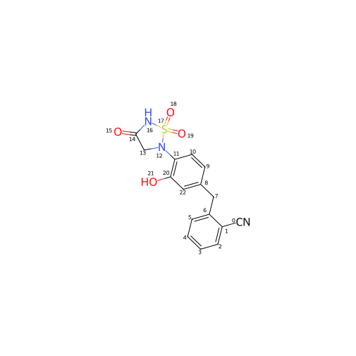 N#Cc1ccccc1Cc1ccc(N2CC(=O)NS2(=O)=O)c(O)c1